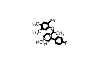 Cc1cc(OC(C)N2CCNCC2c2ccc(F)cc2)c(C(C)C)cc1O.Cl